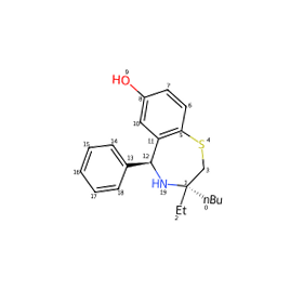 CCCC[C@@]1(CC)CSc2ccc(O)cc2[C@H](c2ccccc2)N1